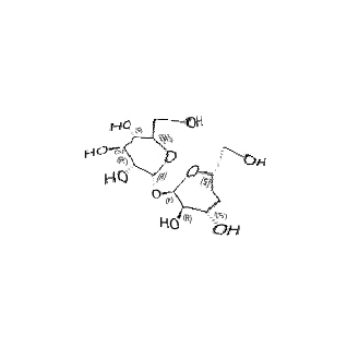 OC[C@@H]1C[C@H](O)[C@@H](O)[C@@H](O[C@H]2O[C@H](CO)[C@@H](O)[C@H](O)[C@H]2O)O1